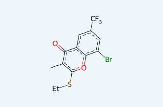 CCSc1oc2c(Br)cc(C(F)(F)F)cc2c(=O)c1C